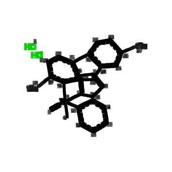 Cl.Cl.[CH2]=[Zr]([CH3])([C]1=CC=CC1)([c]1ccccc1)[c]1c(C(C)(C)C)ccc2c1Cc1cc(C(C)(C)C)ccc1-2